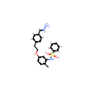 Cc1ccc(OCCc2ccc(C=NN)cc2)cc1NS(=O)(=O)c1ccccc1